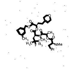 CN[C@@H](CC(C)C)C(=O)O[C@H](C)C(=O)N(C)[C@@H](CC(C)(C)F)C(=O)O[C@H](CCC1=CCOCC1)C(=O)OCc1cccc(C)c1